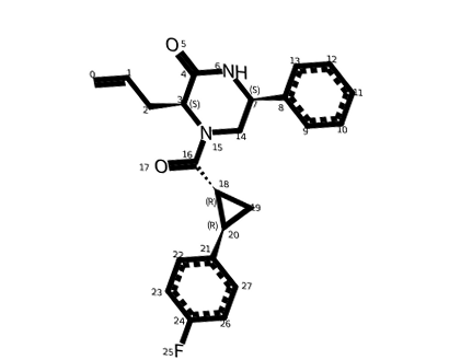 C=CC[C@H]1C(=O)N[C@@H](c2ccccc2)CN1C(=O)[C@@H]1C[C@H]1c1ccc(F)cc1